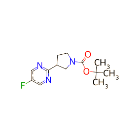 CC(C)(C)OC(=O)N1CCC(c2ncc(F)cn2)C1